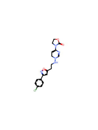 O=C1OCCN1C1=CCN(NCCc2cc(-c3ccc(Cl)cc3)no2)C=N1